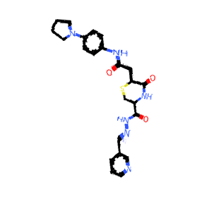 O=C(CC1SCC(C(=O)N/N=C/c2cccnc2)NC1=O)Nc1ccc(N2CCCC2)cc1